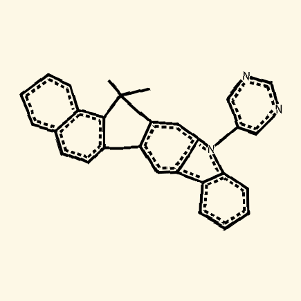 CC1(C)c2cc3c(cc2-c2ccc4ccccc4c21)c1ccccc1n3-c1cncnc1